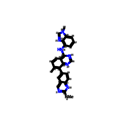 CNc1ncc2cc(-c3c(C)ccc4c(Nc5cccc6c5ncn6C)ncnc34)ccc2n1